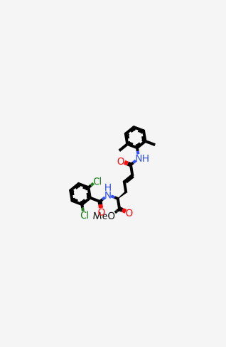 COC(=O)[C@H](CC=CC(=O)Nc1c(C)cccc1C)NC(=O)c1c(Cl)cccc1Cl